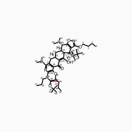 CCCCOc1noc2c1C(=O)[C@@]1(O[Si](C)(C)C(C)(C)C)C(O)=C3C(=O)c4c(c(N(C)C)nc(N(CCC)C(=O)OC(C)(C)C)c4OCCCC)C[C@H]3C[C@H]1[C@@H]2N(C)C